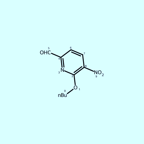 CCCCOc1nc(C=O)ccc1[N+](=O)[O-]